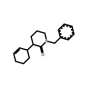 O=C1C(C2C=CCCC2)CCCN1Cc1ccccc1